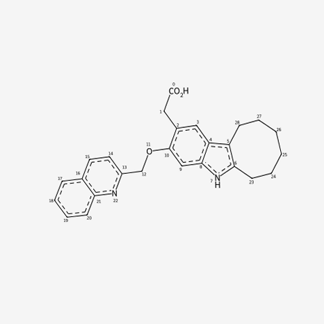 O=C(O)Cc1cc2c3c([nH]c2cc1OCc1ccc2ccccc2n1)CCCCCC3